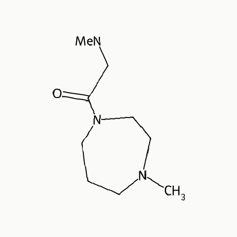 CNCC(=O)N1CCCN(C)CC1